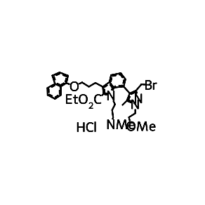 CCOC(=O)c1c(CCCOc2cccc3ccccc23)c2cccc(-c3c(CBr)nn(CCOC)c3C)c2n1CCCNC.Cl